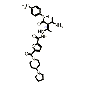 C/C(NNC(=O)c1ccc(C(=O)N2CCC(N3CCCC3)CC2)s1)=C(/C(=O)Nc1ccc(C(F)(F)F)cc1)C(C)N